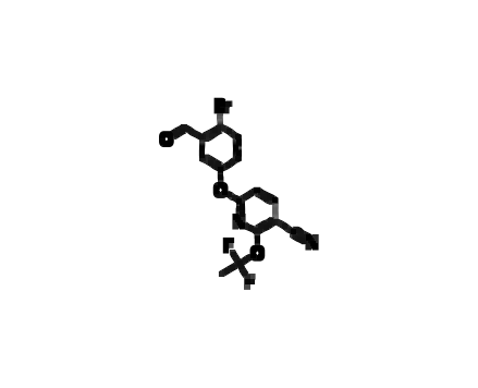 CC(F)(F)Oc1nc(Oc2ccc(Br)c(C=O)c2)ccc1C#N